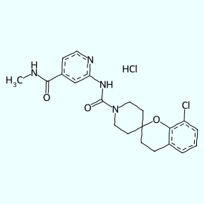 CNC(=O)c1ccnc(NC(=O)N2CCC3(CCc4cccc(Cl)c4O3)CC2)c1.Cl